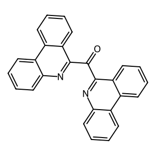 O=C(c1nc2ccccc2c2ccccc12)c1nc2ccccc2c2ccccc12